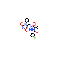 CC(C)C(NC(=O)c1cccc(F)c1)C(=O)N1CCC2(CC1)C(=O)N(C)C(=O)N2c1ccccc1